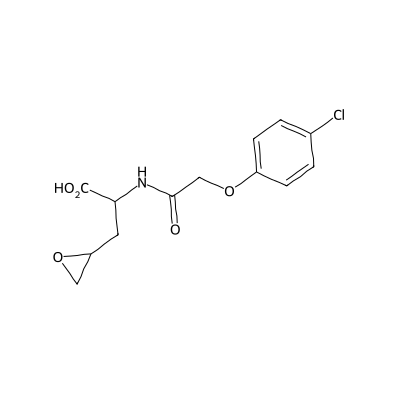 O=C(COc1ccc(Cl)cc1)NC(CC1CO1)C(=O)O